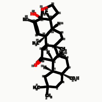 CC1(C)CC[C@]2(C(=O)O)CC[C@]3(C)[C@H](C(=O)C=C4[C@@]5(C)C=C(C#N)C6(O)OCC[C@@]6(C)[C@@H]5CC[C@]43C)[C@@H]2C1